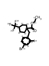 CCOC(=O)C1(Cc2ccc(Br)cc2I)CCC(C(F)(F)F)CC1